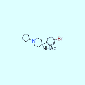 CC(=O)NC1(c2ccc(Br)cc2)CCN(C2CCCC2)CC1